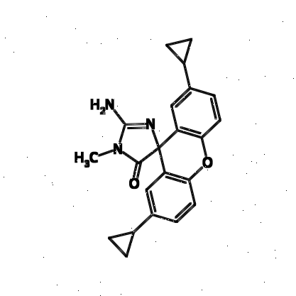 CN1C(=O)C2(N=C1N)c1cc(C3CC3)ccc1Oc1ccc(C3CC3)cc12